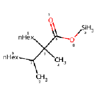 CCCCCCC(C)C(C)(CCCCCC)C(=O)O[SiH3]